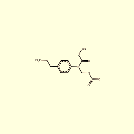 CC(C)(C)OC(=O)N(CO[SH](=O)=O)c1ccc(CCC(=O)O)cc1